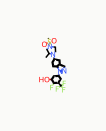 CC1CN(S(C)(=O)=O)CCN1c1ccc2c(cnn2-c2cc(O)c(F)c(C(F)(F)F)c2)c1